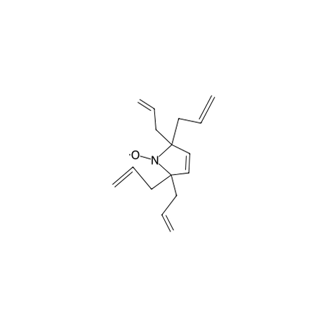 C=CCC1(CC=C)C=CC(CC=C)(CC=C)N1[O]